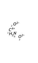 N.[C+4].[O-2].[O-2]